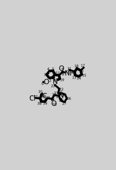 COc1cccc2c(C(=O)NCc3cccc(C)c3)cn(CCCN3C4CCC3C(CC(=O)c3ccc(Cl)cc3)C4)c12